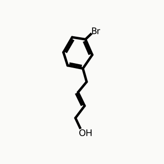 OCC=CCc1cccc(Br)c1